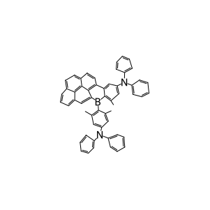 Cc1cc(N(c2ccccc2)c2ccccc2)cc(C)c1B1c2c(C)cc(N(c3ccccc3)c3ccccc3)cc2-c2ccc3ccc4cccc5cc1c2c3c45